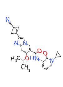 CC(C)Oc1cc2nc(C34CC(C#N)(C3)C4)cn2cc1C(=O)Nc1cccn(C2CC2)c1=O